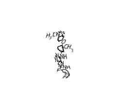 Cc1cc(Nc2ncnc3cnc(N[C@@H]4CNCC4(F)F)nc23)ccc1Oc1ccc2c(c1)ncn2C